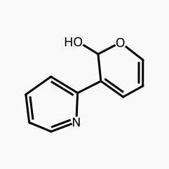 OC1OC=CC=C1c1ccccn1